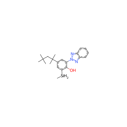 C[SiH2]c1cc(C(C)(C)CC(C)(C)C)cc(-n2nc3ccccc3n2)c1O